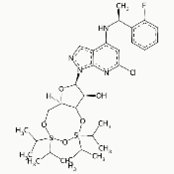 CC(C)[Si]1(C(C)C)OC[C@H]2O[C@@H](n3ncc4c(N[C@@H](C)c5ccccc5F)cc(Cl)nc43)[C@@H](O)C2O[Si](C(C)C)(C(C)C)O1